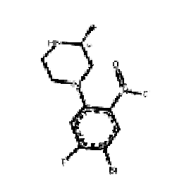 C[C@H]1CN(c2cc(F)c(Br)cc2[N+](=O)[O-])CCN1